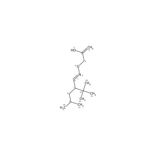 C=C(O)CO/N=C/C(CC(C)C)C(C)(C)C